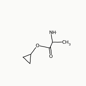 CC([NH])C(=O)OC1CC1